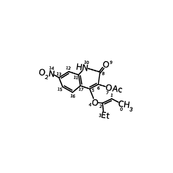 CC=C(CC)Oc1c(OC(C)=O)c(=O)[nH]c2cc([N+](=O)[O-])ccc12